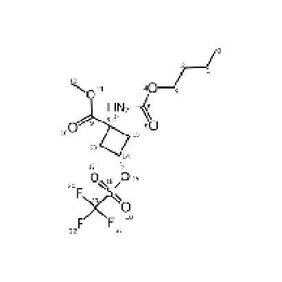 CCCCOC(=O)N[C@]1(C(=O)OC)C[C@H](OS(=O)(=O)C(F)(F)F)C1